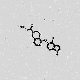 CC(C)(C)OC(=O)N1CCc2c(ncnc2Oc2ccc3[nH]ccc3c2F)C1